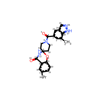 Cc1cc(C(=O)N2CCC3(CC2)NC(=O)c2cc(C(C)C)ccc2O3)cc2cn[nH]c12